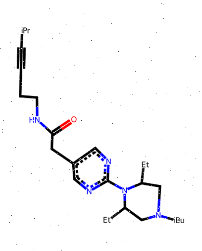 CCC(C)N1CC(CC)N(c2ncc(CC(=O)NCCC#CC(C)C)cn2)C(CC)C1